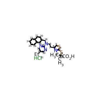 CCc1cnc(N(CCc2csc(SC(C)(C)C(=O)O)n2)Cc2ccc3ccccc3c2)nc1.Cl